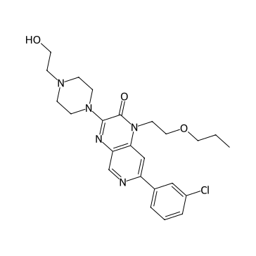 CCCOCCn1c(=O)c(N2CCN(CCO)CC2)nc2cnc(-c3cccc(Cl)c3)cc21